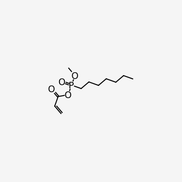 C=CC(=O)OP(=O)(CCCCCCC)OC